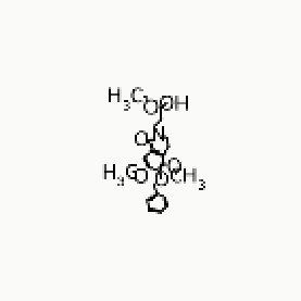 CCOC(O)CCN1CCc2c(cc(OC)c(OCc3ccccc3)c2OC)C1=O